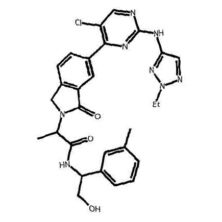 CCn1ncc(Nc2ncc(Cl)c(-c3ccc4c(c3)C(=O)N(C(C)C(=O)NC(CO)c3cccc(C)c3)C4)n2)n1